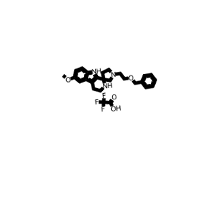 COc1ccc2[nH]c3c(c2c1)CCNC31CCN(CCOCc2ccccc2)C1.O=C(O)C(F)(F)F